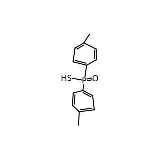 Cc1ccc(P(=O)(S)c2ccc(C)cc2)cc1